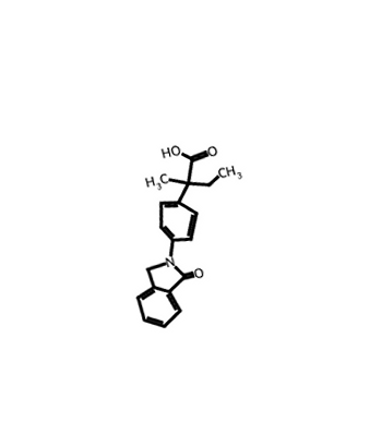 CCC(C)(C(=O)O)c1ccc(N2Cc3ccccc3C2=O)cc1